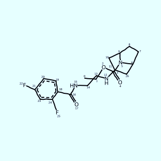 CCOC(=O)N1C2CCC1CC(NCCNC(=O)c1ccc(F)cc1F)C2